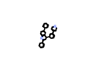 c1ccc(-c2ccc3nc(-c4ccccc4)cc(-c4cccc(-c5ccncc5)c4)c3c2)cc1